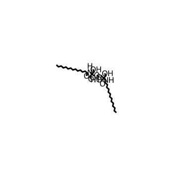 CCCCCCCCCCCCCC(=O)NC(CO)(CO)COOCC(CO)(CO)NC(=O)CCCCCCCCCCCCC